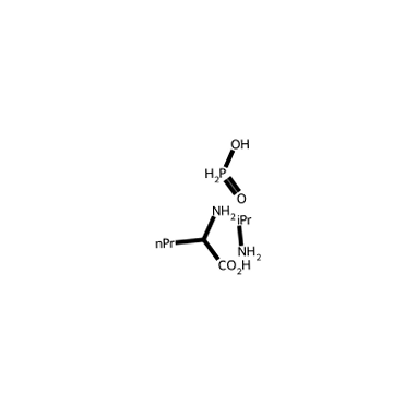 CC(C)N.CCCC(N)C(=O)O.O=[PH2]O